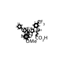 COC[C@@H]1C[C@@H](c2ccc(C(F)(F)F)cc2N(C)CCCC(=O)O)CN1C(=O)[C@]1(F)CN(C2CCCC2)C[C@H]1c1ccc(OC)cc1